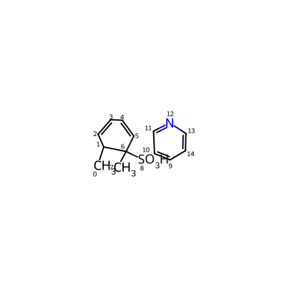 CC1C=CC=CC1(C)S(=O)(=O)O.c1ccncc1